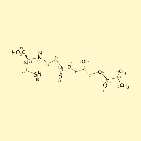 C=C(C)C(=O)OCC(O)COC(=O)CCN[C@@H](CS)C(=O)O